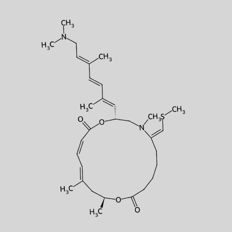 CS/C=C1/CCCCC(=O)O[C@@H](C)C/C(C)=C/C=C\C(=O)O[C@H](/C=C(C)/C=C/C(C)=C/CN(C)C)CN1C